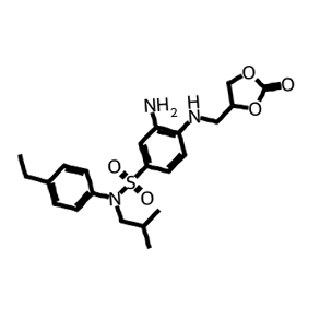 CCc1ccc(N(CC(C)C)S(=O)(=O)c2ccc(NCC3COC(=O)O3)c(N)c2)cc1